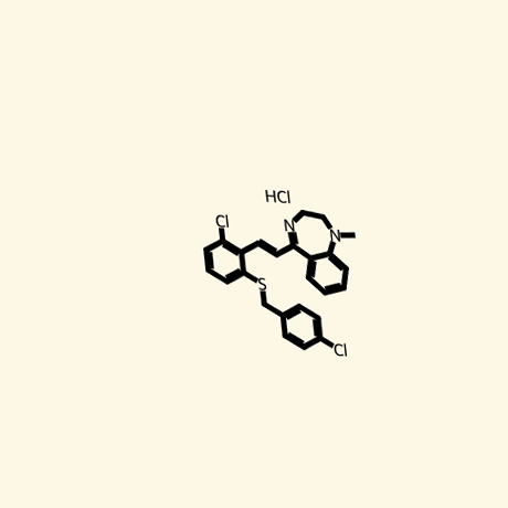 CN1CCN=C(C=Cc2c(Cl)cccc2SCc2ccc(Cl)cc2)c2ccccc21.Cl